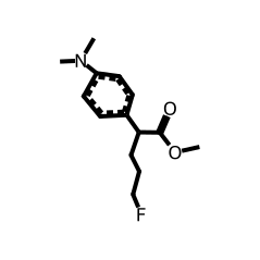 COC(=O)C(CCCF)c1ccc(N(C)C)cc1